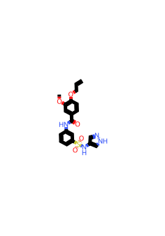 C=CCOc1ccc(C(=O)Nc2cccc(S(=O)(=O)Nc3cn[nH]c3)c2)cc1OC